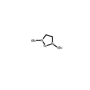 CC(C)(C)N1CCN(C(C)(C)C)[Te]1